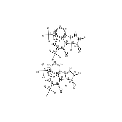 CN1N=C(c2ccccc2)C(C)(N(OC(=O)OC(C)(C)C)C(=O)OC(C)(C)C)C1=O.CN1N=C(c2ccccc2)C(C)(N(OC(=O)OC(C)(C)C)C(=O)OC(C)(C)C)C1=O